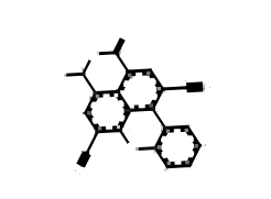 N#Cc1cc2c3c(cc(C#N)c4c3c1Oc1ccccc1-4)C(=O)OC2O